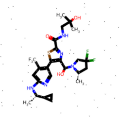 C[C@H](Nc1cc(C(F)(F)F)c(-c2sc(C(=O)NCC(C)(C)O)nc2C(O)N2CC(F)(F)C[C@@H]2C)cn1)C1CC1